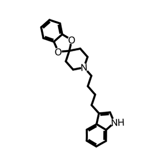 c1ccc2c(c1)OC1(CCN(CCCCc3c[nH]c4ccccc34)CC1)O2